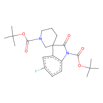 CC(C)(C)OC(=O)N1CCCC2(C1)C(=O)N(C(=O)OC(C)(C)C)c1ccc(F)cc12